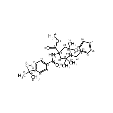 COC(=O)C1(NC(=O)c2ccc(C(C)(C)C)cc2)CC(C)(C)N(Cc2ccccc2)C(C)(C)C1